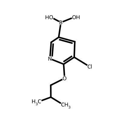 CC(C)COc1ncc(B(O)O)cc1Cl